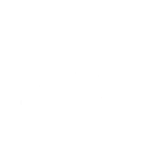 Cc1ccc(C(=O)c2cccc([C]=O)c2-c2ccccc2)cc1